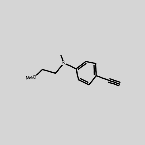 C#Cc1ccc(N(C)CCOC)cc1